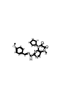 CSc1ccc(C=NNc2ncc3c(n2)n(C2CCCC2)c(=O)c(=O)n3C)cc1